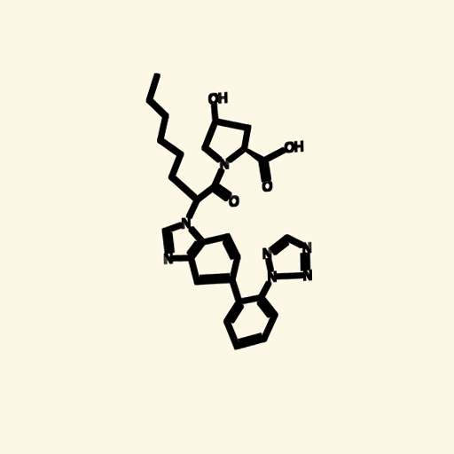 CCCCCCC(C(=O)N1CC(O)C[C@H]1C(=O)O)n1cnc2cc(-c3ccccc3-n3ncnn3)ccc21